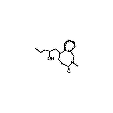 CCCC(O)CN1CCC(=O)N(C)Cc2ccccc21